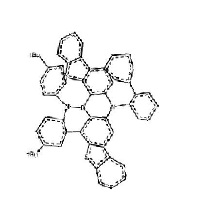 CC(C)(C)c1ccc(N2B3c4c(cc5c(sc6ccccc65)c4-c4cc(C(C)(C)C)ccc42)N(c2ccccc2-c2ccccc2)c2ccc4c(oc5ccccc54)c23)cc1